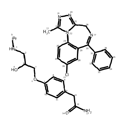 CC(C)NCC(O)COc1ccc(CC(N)=O)cc1.Cc1nnc2n1-c1ccc(Cl)cc1C(c1ccccc1)=NC2